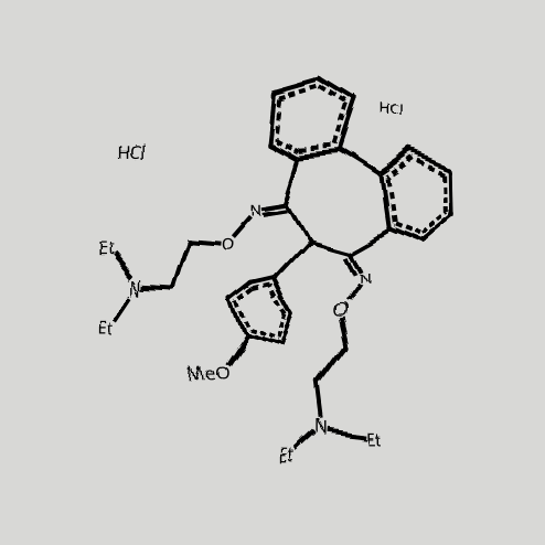 CCN(CC)CCON=C1c2ccccc2-c2ccccc2C(=NOCCN(CC)CC)C1c1ccc(OC)cc1.Cl.Cl